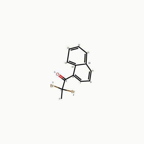 CC(Br)(Br)C(=O)c1cccc2ccccc12